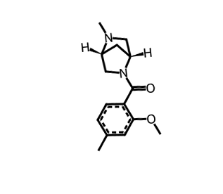 COc1cc(C)ccc1C(=O)N1C[C@H]2C[C@@H]1CN2C